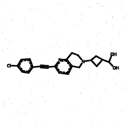 OC(O)C1CC(N2CCc3nc(C#Cc4ccc(Cl)cc4)ccc3C2)C1